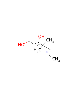 C/C=C/C(C)(C)[C@@H](O)CCO